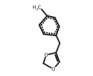 Cc1ccc(CC2=COCO2)cc1